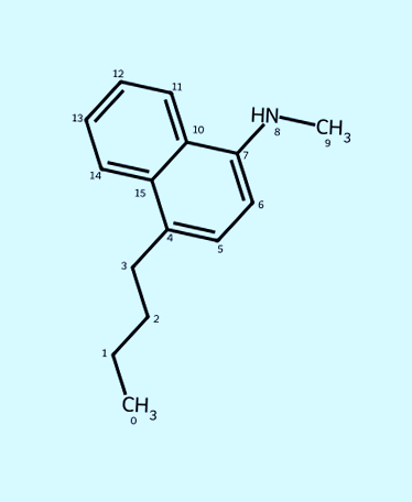 CCCCc1ccc(NC)c2ccccc12